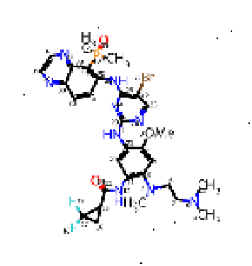 COc1cc(N(C)CCN(C)C)c(NC(=O)C2CC2(F)F)cc1Nc1ncc(Br)c(Nc2ccc3nccnc3c2P(C)(C)=O)n1